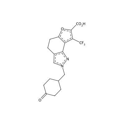 O=C1CCC(Cn2cc3c(n2)-c2c(oc(C(=O)O)c2C(F)(F)F)CC3)CC1